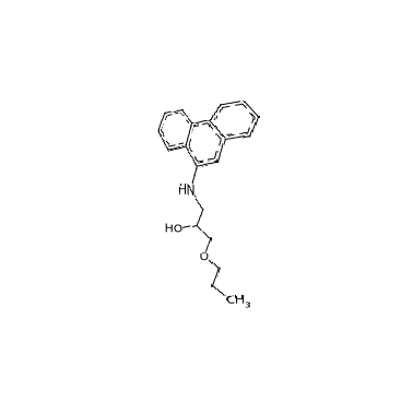 CCCOCC(O)CNc1cc2ccccc2c2ccccc12